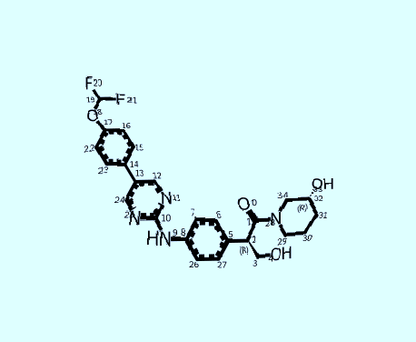 O=C([C@@H](CO)c1ccc(Nc2ncc(-c3ccc(OC(F)F)cc3)cn2)cc1)N1CCC[C@@H](O)C1